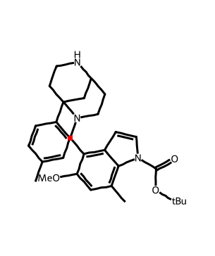 COc1cc(C)c2c(ccn2C(=O)OC(C)(C)C)c1CN1CCC2CC1(c1ccc(C)cc1)CCN2